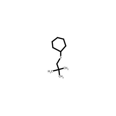 [CH2]C(C)(C)CSC1CCCCC1